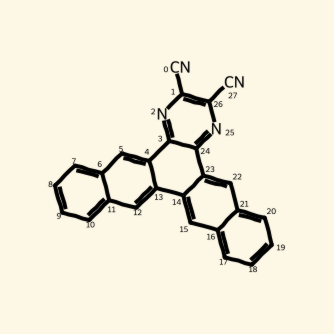 N#Cc1nc2c3cc4ccccc4cc3c3cc4ccccc4cc3c2nc1C#N